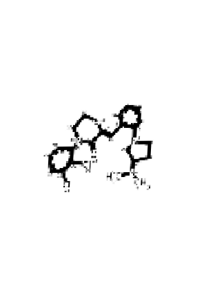 CN(C)C1CCN(c2ccccc2C=C2SCCN(c3cccc(Cl)c3Cl)C2=O)C1